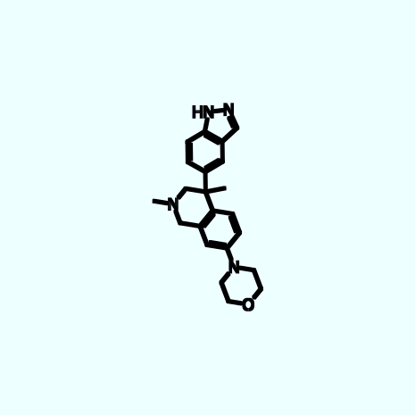 CN1Cc2cc(N3CCOCC3)ccc2C(C)(c2ccc3[nH]ncc3c2)C1